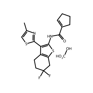 Cc1csc(-c2c(NC(=O)C3=CCCC3)sc3c2CCC(F)(F)C3)n1.O=C(O)O